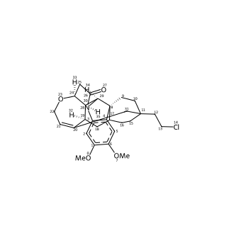 COc1cc2c(cc1OC)[C@]13CCC4(CCCl)CCC1C[C@H]1C(=CCO[C@H]5CC(=O)N2[C@H]3[C@H]51)C4